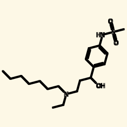 CCCCCCCN(CC)CCC(O)c1ccc(NS(C)(=O)=O)cc1